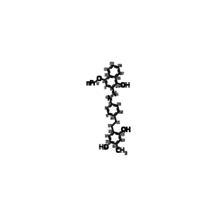 CCCOc1cc(N=Nc2ccc(CCc3cc(O)c(C)cc3O)cc2)c(O)c2ccccc12